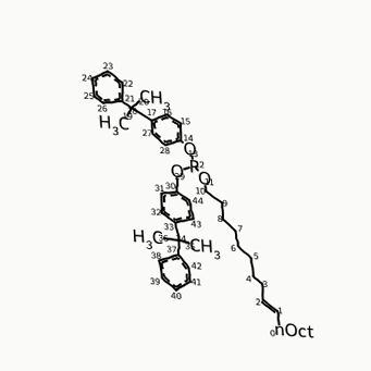 CCCCCCCCC=CCCCCCCCCOP(Oc1ccc(C(C)(C)c2ccccc2)cc1)Oc1ccc(C(C)(C)c2ccccc2)cc1